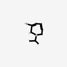 CC(C)N1CC=CC=C(F)C1